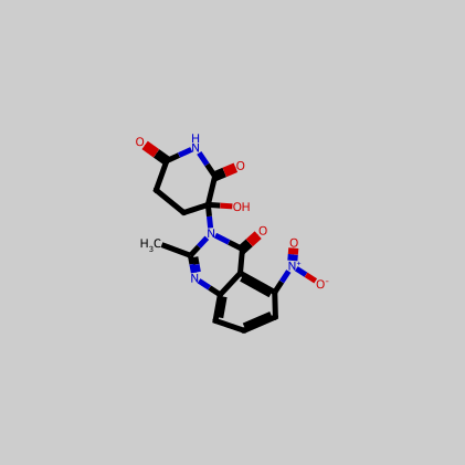 Cc1nc2cccc([N+](=O)[O-])c2c(=O)n1C1(O)CCC(=O)NC1=O